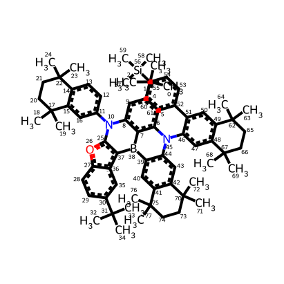 CC(C)(C)c1cc2c3c(c1)N(c1ccc4c(c1)C(C)(C)CCC4(C)C)c1oc4ccc(C(C)(C)C)cc4c1B3c1cc3c(cc1N2c1cc2c(cc1-c1ccc([Si](C)(C)C)cc1)C(C)(C)CCC2(C)C)C(C)(C)CCC3(C)C